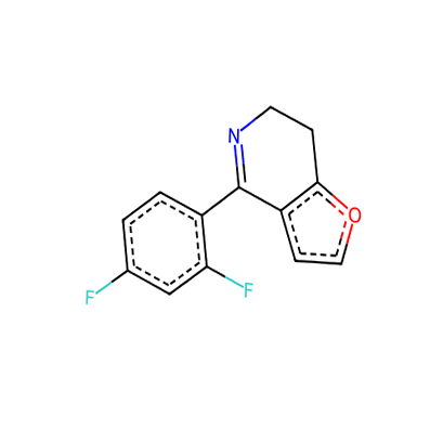 Fc1ccc(C2=NCCc3occc32)c(F)c1